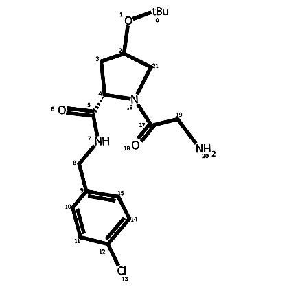 CC(C)(C)OC1C[C@@H](C(=O)NCc2ccc(Cl)cc2)N(C(=O)CN)C1